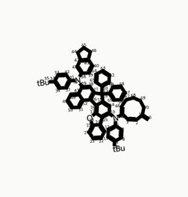 C=C1/C=C\C(N(c2ccc(C(C)(C)C)cc2)c2cc3c(c4oc5ccccc5c24)-c2c(cc(N(c4ccc(C(C)(C)C)cc4)c4ccc5c(c4)CCC5)c4ccccc24)C3(c2ccccc2)c2ccccc2)=C/CCCC1